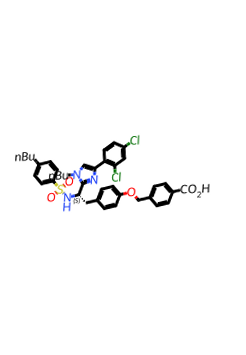 CCCCc1ccc(S(=O)(=O)N[C@@H](Cc2ccc(OCc3ccc(C(=O)O)cc3)cc2)c2nc(-c3ccc(Cl)cc3Cl)cn2CCCC)cc1